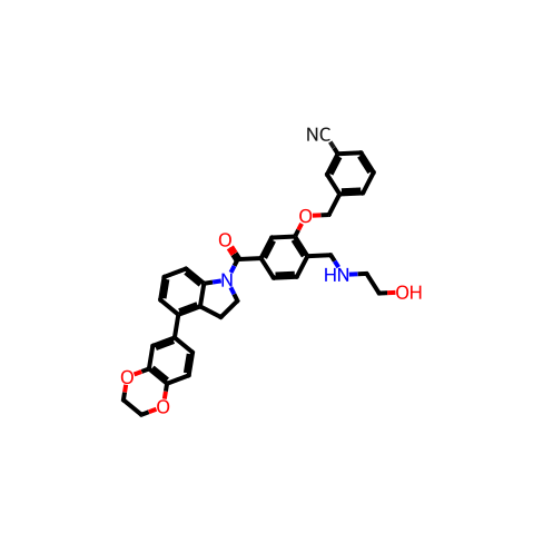 N#Cc1cccc(COc2cc(C(=O)N3CCc4c(-c5ccc6c(c5)OCCO6)cccc43)ccc2CNCCO)c1